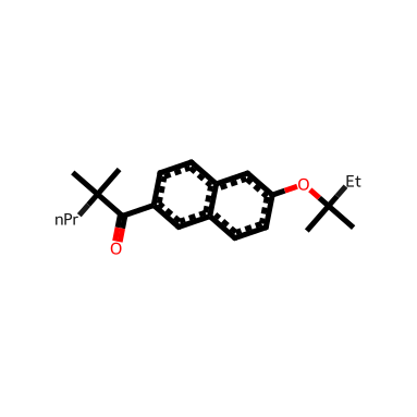 CCCC(C)(C)C(=O)c1ccc2cc(OC(C)(C)CC)ccc2c1